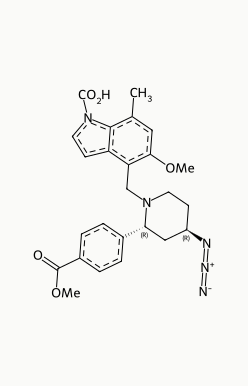 COC(=O)c1ccc([C@H]2C[C@H](N=[N+]=[N-])CCN2Cc2c(OC)cc(C)c3c2ccn3C(=O)O)cc1